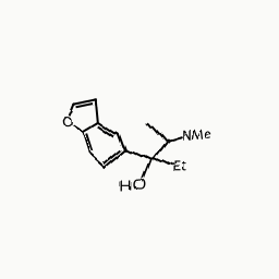 CCC(O)(c1ccc2occc2c1)C(C)NC